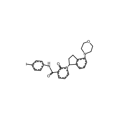 O=C(Nc1ccc(I)cc1)c1cccn(C2CCc3c2cccc3N2CCOCC2)c1=O